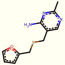 Cc1ncc(CSCc2ccco2)c(N)n1